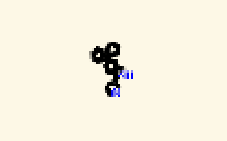 C1=CC(c2ccccc2)(c2ccccc2)Cc2c[nH]c(-c3cccnc3)c21